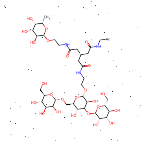 CC(=O)CNC(=O)CC(CC(=O)NCCO[C@@H]1O[C@@H](C)[C@@H](O)[C@@H](O)[C@@H]1O)CC(=O)NCCO[C@H]1O[C@H](CO[C@H]2O[C@H](CO)[C@@H](O)[C@H](O)[C@@H]2O)[C@@H](O)[C@H](O[C@H]2O[C@H](CO)[C@@H](O)[C@H](O)[C@@H]2O)[C@@H]1O